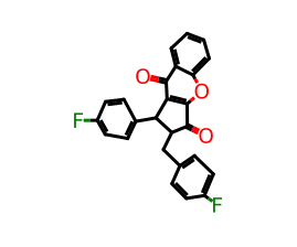 O=C1c2oc3ccccc3c(=O)c2C(c2ccc(F)cc2)C1Cc1ccc(F)cc1